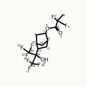 CC(F)(F)C(=O)OC1CC2CC1CC2C(O)(C(F)(F)F)C(F)(F)F